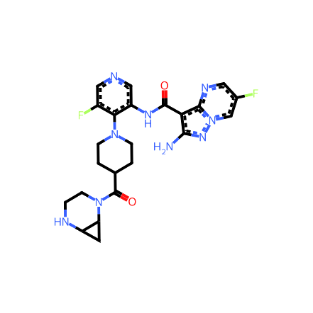 Nc1nn2cc(F)cnc2c1C(=O)Nc1cncc(F)c1N1CCC(C(=O)N2CCNC3CC32)CC1